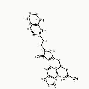 O=C(O)CC(Cc1cc(=O)n(CCc2ccc3c(n2)NCCO3)o1)c1ccc2c(c1)OCO2